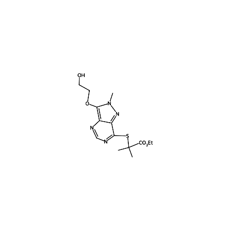 CCOC(=O)C(C)(C)Sc1ncnc2c(OCCO)n(C)nc12